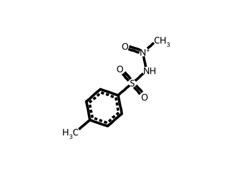 Cc1ccc(S(=O)(=O)N[N+](C)=O)cc1